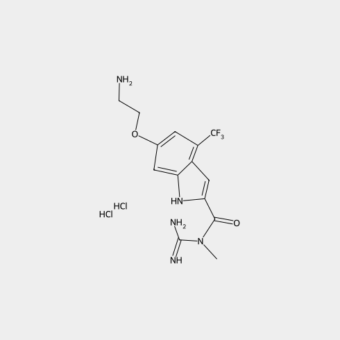 CN(C(=N)N)C(=O)c1cc2c(C(F)(F)F)cc(OCCN)cc2[nH]1.Cl.Cl